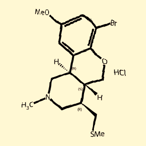 COc1cc(Br)c2c(c1)[C@@H]1CN(C)C[C@H](CSC)[C@H]1CO2.Cl